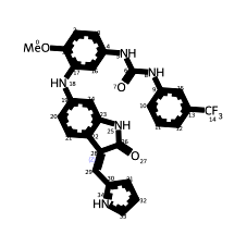 COc1ccc(NC(=O)Nc2cccc(C(F)(F)F)c2)cc1Nc1ccc2c(c1)NC(=O)/C2=C\c1ccc[nH]1